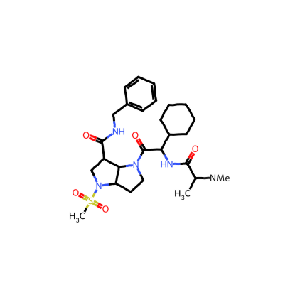 CNC(C)C(=O)NC(C(=O)N1CCC2C1C(C(=O)NCc1ccccc1)CN2S(C)(=O)=O)C1CCCCC1